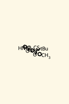 CC(C)(C)c1cc(N(C(=O)[C@H]2CC[C@H](C)CC2)C2CCN(C(=O)O[C@@H]3CCCNC3)CC2)c(C(=O)O)s1